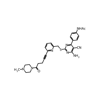 CC(=O)Nc1ccc(-c2nc(SCc3cccc(C#CCCC(=O)N4CCN(C)CC4)n3)nc(N)c2C#N)cc1